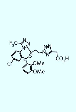 COc1cccc([C@H]2S[C@H](CCn3nnc(CC(=O)O)n3)c3nnc(C(F)(F)F)n3-c3ccc(Cl)cc32)c1OC